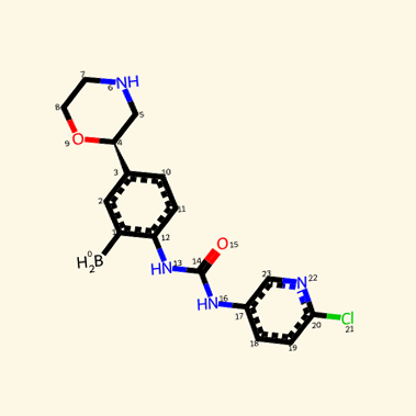 Bc1cc([C@@H]2CNCCO2)ccc1NC(=O)Nc1ccc(Cl)nc1